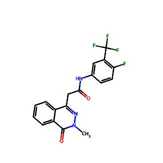 Cn1nc(CC(=O)Nc2ccc(F)c(C(F)(F)F)c2)c2ccccc2c1=O